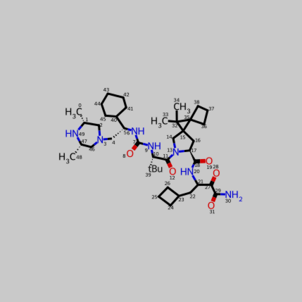 C[C@@H]1CN(C[C@@H](NC(=O)N[C@H](C(=O)N2CC3(C[C@H]2C(=O)NC(CC2CCC2)C(=O)C(N)=O)C(C)(C)C32CCC2)C(C)(C)C)C2CCCCC2)C[C@H](C)N1